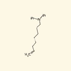 C=CCCCCCCN(C(C)C)C(C)C